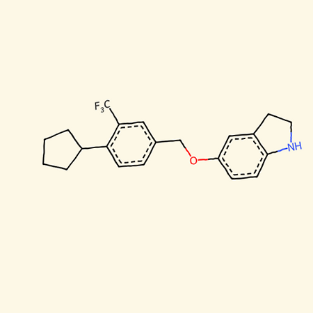 FC(F)(F)c1cc(COc2ccc3c(c2)CCN3)ccc1C1CCCC1